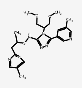 COCC(COC)n1c(NSC(C)Cc2ncc(C)cn2)nnc1-c1cncc(C)c1